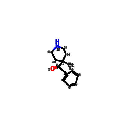 CCC1(C(=O)c2ccccc2)CCNCC1